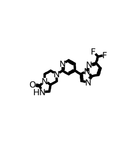 O=C1NCC2CN(c3cc(-c4cnc5ccc(C(F)F)nn45)ccn3)CCN12